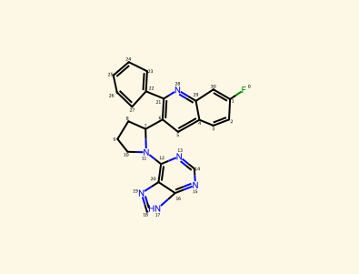 Fc1ccc2cc(C3CCCN3c3ncnc4[nH]cnc34)c(-c3ccccc3)nc2c1